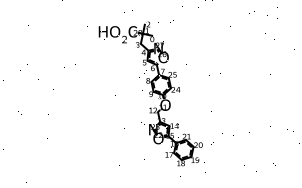 CC(C)(Cc1cc(-c2ccc(OCc3cc(-c4ccccc4)on3)cc2)on1)C(=O)O